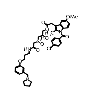 COc1ccc2c(c1)c(CC(=O)OCC(O)C[S+]([O-])CC(=O)NCCCOc1cccc(CN3CCCC3)c1)c(C)n2C(=O)c1ccc(Cl)cc1